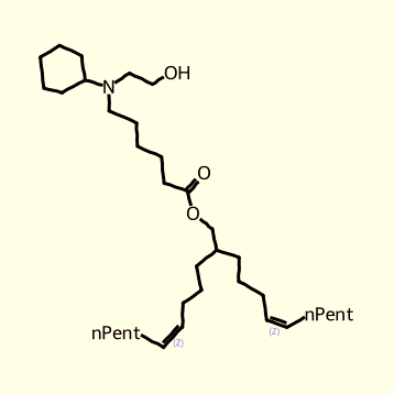 CCCCC/C=C\CCCC(CCC/C=C\CCCCC)COC(=O)CCCCCN(CCO)C1CCCCC1